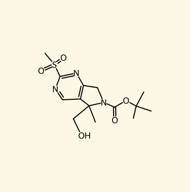 CC(C)(C)OC(=O)N1Cc2nc(S(C)(=O)=O)ncc2C1(C)CO